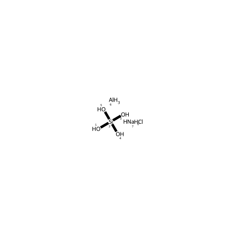 Cl.O[Si](O)(O)O.[AlH3].[NaH]